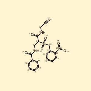 N#CCNC(=O)C(CNC(=O)c1ccccc1)S(=O)(=O)Cc1ccccc1[N+](=O)[O-]